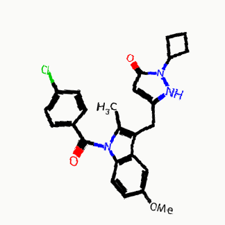 COc1ccc2c(c1)c(Cc1cc(=O)n(C3CCC3)[nH]1)c(C)n2C(=O)c1ccc(Cl)cc1